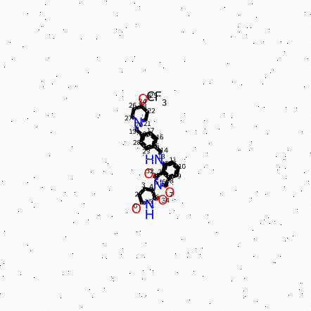 O=C1CCC(N2C(=O)c3cccc(NCc4ccc(CN5CCC(OC(F)(F)F)CC5)cc4)c3C2=O)C(=O)N1